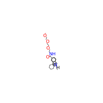 COCCOCCOCCNC(=O)c1ccc2c(c1)[C@@]13CCCC[C@H]1[C@@H](C2)N(C)CC3